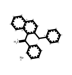 C=C(c1ccccc1)c1c(Cc2ccccc2)ccc2ccccc12.[Na]